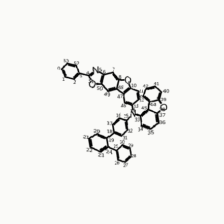 c1ccc(-c2nc3cc4oc5ccc(N(c6ccc(-c7ccccc7-c7ccccc7)cc6)c6cccc7oc8ccccc8c67)cc5c4cc3o2)cc1